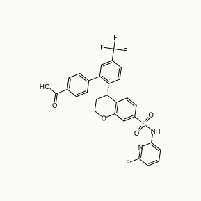 O=C(O)c1ccc(-c2cc(C(F)(F)F)ccc2[C@H]2CCOc3cc(S(=O)(=O)Nc4cccc(F)n4)ccc32)cc1